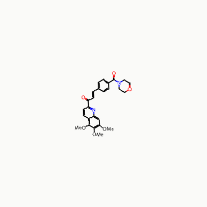 COc1cc2nc(C(=O)C=Cc3ccc(C(=O)N4CCOCC4)cc3)ccc2c(OC)c1OC